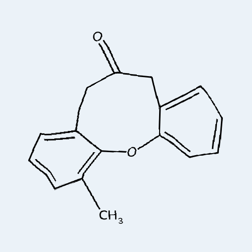 Cc1cccc2c1Oc1ccccc1CC(=O)C2